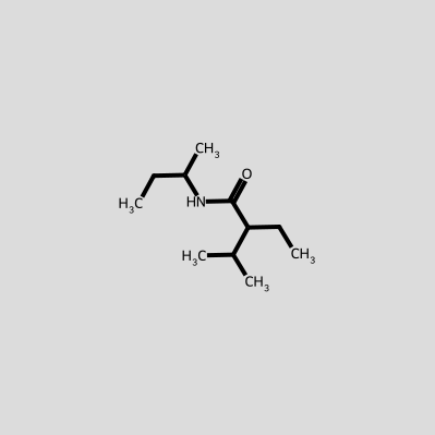 CCC(C)NC(=O)C(CC)C(C)C